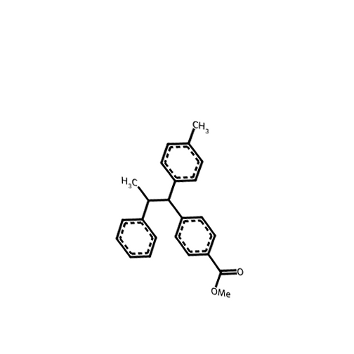 COC(=O)c1ccc(C(c2ccc(C)cc2)C(C)c2ccccc2)cc1